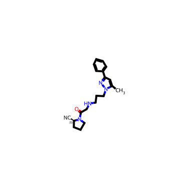 Cc1cc(-c2ccccc2)nn1CCCNCC(=O)N1CCC[C@H]1C#N